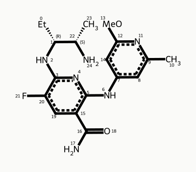 CC[C@@H](Nc1nc(Nc2cc(C)nc(OC)c2)c(C(N)=O)cc1F)[C@H](C)N